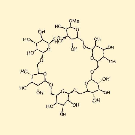 CO[C@H]1OC(CO[C@@H]2O[C@H](COC3OC(CO[C@@H]4O[C@H](COC5OC(CO[C@@H]6O[C@H](C(=O)O)C(O)[C@H](O)C6O)[C@@H](O)C(O)[C@H]5O)C(O)[C@H](O)C4O)[C@@H](O)C(O)[C@H]3O)C(O)[C@H](O)C2O)[C@@H](O)C(O)[C@H]1O